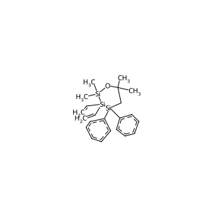 C=C[Si]1(C=C)[Si](C)(C)OC(C)(C)C[Si]1(c1ccccc1)c1ccccc1